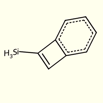 [SiH3]C1=Cc2ccccc21